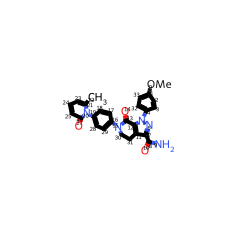 COc1ccc(-n2nc(C(N)=O)c3c2C(=O)N(c2ccc(-n4c(C)cccc4=O)cc2)CC3)cc1